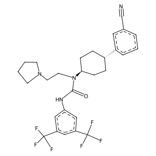 N#Cc1cccc([C@H]2CC[C@H](N(CCN3CCCC3)C(=O)Nc3cc(C(F)(F)F)cc(C(F)(F)F)c3)CC2)c1